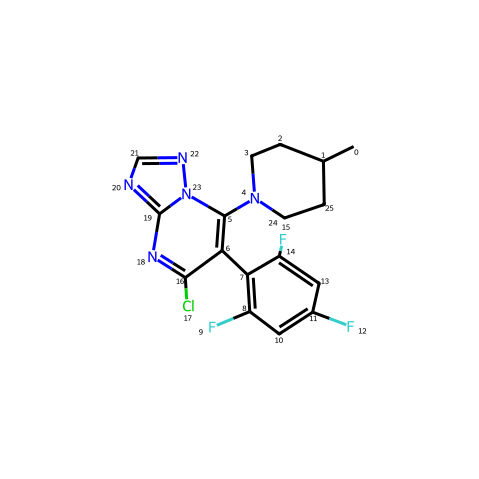 CC1CCN(c2c(-c3c(F)cc(F)cc3F)c(Cl)nc3ncnn23)CC1